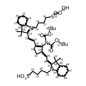 CC(C)(C)OC(=O)N(C(=O)OC(C)(C)C)C1=C(/C=C/C2=[N+](CCCCSOOO)c3ccccc3C2(C)C)CC/C1=C\C=C1\N(CCCCS(=O)(=O)O)c2ccccc2C1(C)C